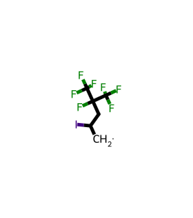 [CH2]C(I)CC(F)(C(F)(F)F)C(F)(F)F